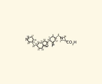 O=C(O)C1CN(Cc2ccc(-c3cc4cc(Cc5cccnc5)ccc4o3)c(F)c2)C1